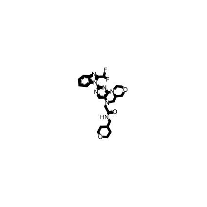 O=C(CN1CC2COCCN2c2nc(-n3c(C(F)F)nc4ccccc43)ncc21)NCC1CCOCC1